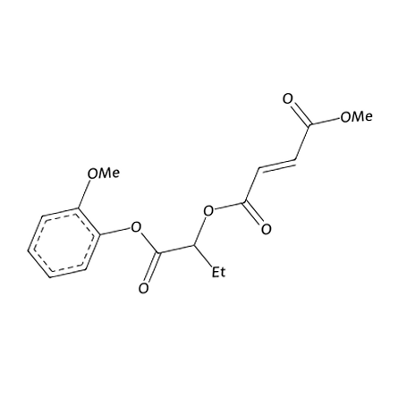 CCC(OC(=O)C=CC(=O)OC)C(=O)Oc1ccccc1OC